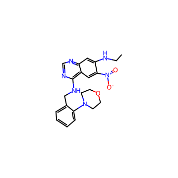 CCNc1cc2ncnc(NCc3ccccc3N3CCOCC3)c2cc1[N+](=O)[O-]